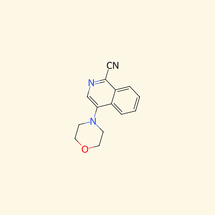 N#Cc1ncc(N2CCOCC2)c2ccccc12